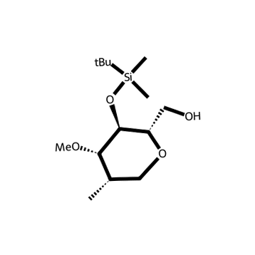 CO[C@@H]1[C@@H](O[Si](C)(C)C(C)(C)C)[C@H](CO)OC[C@@H]1C